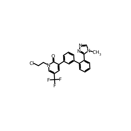 Cn1cnnc1-c1ccccc1-c1cccc(-c2cc(C(F)(F)F)cn(CCCl)c2=O)c1